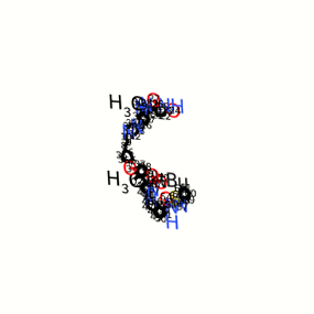 Cc1c(O[C@H]2CC[C@H](CCCN3CCN(c4ccc5c(C6CCC(=O)NC6=O)nn(C)c5c4)CC3)CC2)cccc1-c1ccc(N2CCc3cccc(C(=O)Nc4nc5ccccc5s4)c3C2)nc1C(=O)OC(C)(C)C